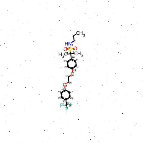 CCCNS(=O)(=O)C(C)(C)c1ccc(OCCOc2ccc(C(F)(F)F)cc2)cc1